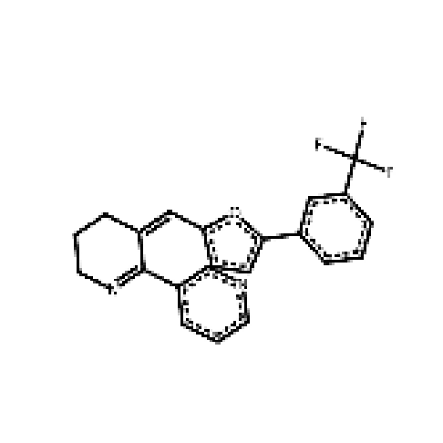 FC(F)(F)c1cccc(-c2ccc(/C=C3/CCCN=C3c3cccnc3)o2)c1